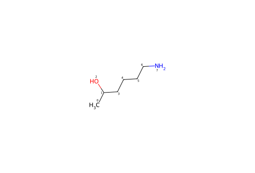 CC(O)CCCCN